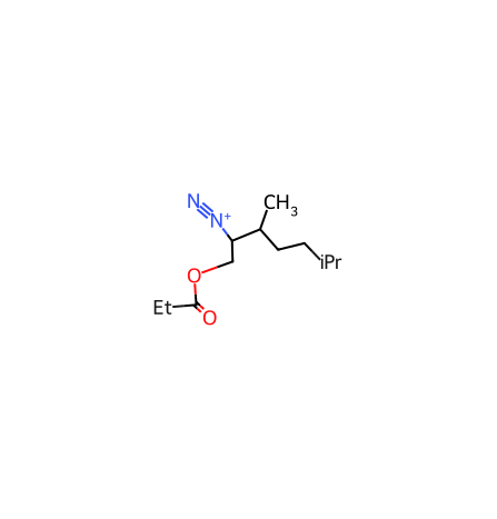 CCC(=O)OCC([N+]#N)C(C)CCC(C)C